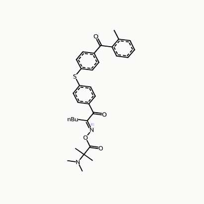 CCCC/C(=N\OC(=O)C(C)(C)N(C)C)C(=O)c1ccc(Sc2ccc(C(=O)c3ccccc3C)cc2)cc1